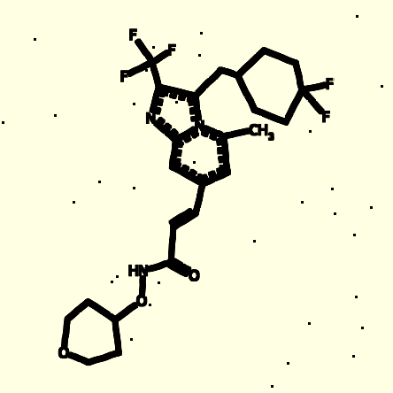 Cc1cc(C=CC(=O)NOC2CCOCC2)cc2nc(C(F)(F)F)c(CC3CCC(F)(F)CC3)n12